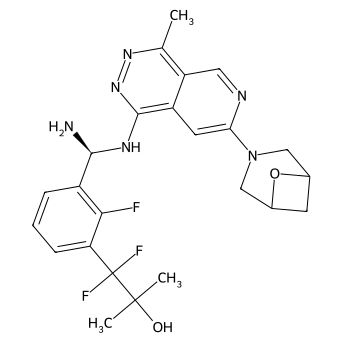 Cc1nnc(N[C@H](N)c2cccc(C(F)(F)C(C)(C)O)c2F)c2cc(N3CC4CC(C3)O4)ncc12